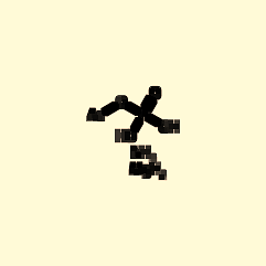 CC(=O)OP(=O)(O)O.N.[MgH2]